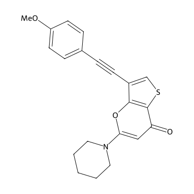 COc1ccc(C#Cc2csc3c(=O)cc(N4CCCCC4)oc23)cc1